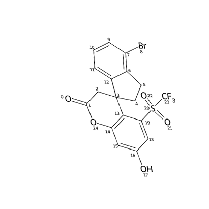 O=C1CC2(CCc3c(Br)cccc32)c2c(cc(O)cc2S(=O)(=O)C(F)(F)F)O1